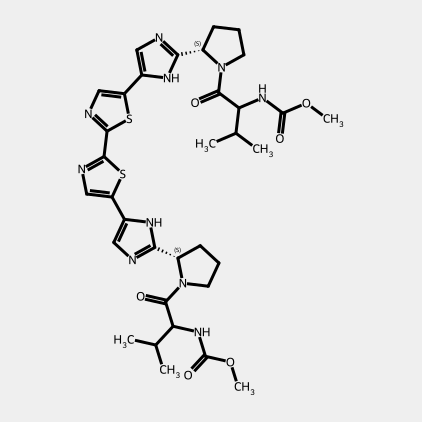 COC(=O)NC(C(=O)N1CCC[C@H]1c1ncc(-c2cnc(-c3ncc(-c4cnc([C@@H]5CCCN5C(=O)C(NC(=O)OC)C(C)C)[nH]4)s3)s2)[nH]1)C(C)C